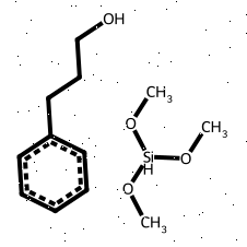 CO[SiH](OC)OC.OCCCc1ccccc1